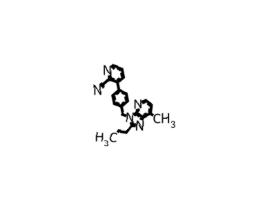 CCCc1nc2c(C)ccnc2n1Cc1ccc(-c2cccnc2C#N)cc1